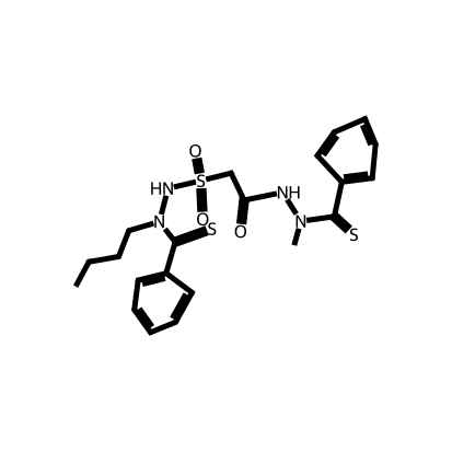 CCCCN(NS(=O)(=O)CC(=O)NN(C)C(=S)c1ccccc1)C(=S)c1ccccc1